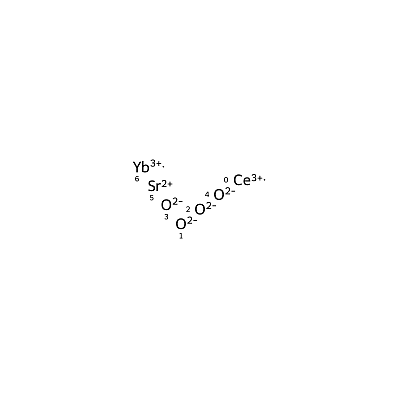 [Ce+3].[O-2].[O-2].[O-2].[O-2].[Sr+2].[Yb+3]